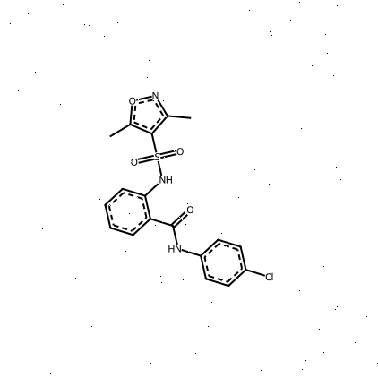 Cc1noc(C)c1S(=O)(=O)Nc1ccccc1C(=O)Nc1ccc(Cl)cc1